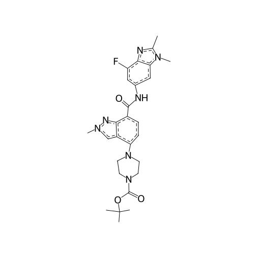 Cc1nc2c(F)cc(NC(=O)c3ccc(N4CCN(C(=O)OC(C)(C)C)CC4)c4cn(C)nc34)cc2n1C